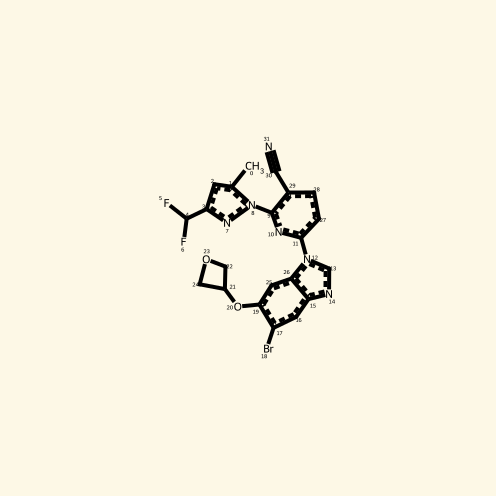 Cc1cc(C(F)F)nn1-c1nc(-n2cnc3cc(Br)c(OC4COC4)cc32)ccc1C#N